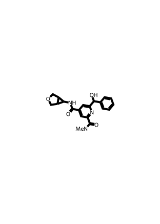 CNC(=O)c1cc(C(=O)NC2C3COCC32)cc(C(O)c2ccccc2)n1